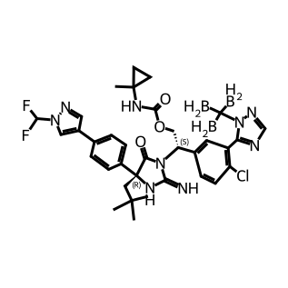 BC(B)(B)n1ncnc1-c1cc([C@@H](COC(=O)NC2(C)CC2)N2C(=N)N[C@](CC(C)(C)C)(c3ccc(-c4cnn(C(F)F)c4)cc3)C2=O)ccc1Cl